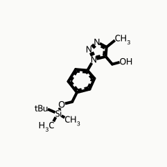 Cc1nnn(-c2ccc(CO[Si](C)(C)C(C)(C)C)cc2)c1CO